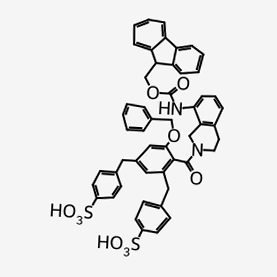 O=C(Nc1cccc2c1CN(C(=O)c1c(Cc3ccc(S(=O)(=O)O)cc3)cc(Cc3ccc(S(=O)(=O)O)cc3)cc1OCc1ccccc1)CC2)OCC1c2ccccc2-c2ccccc21